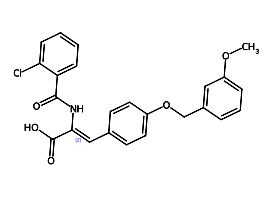 COc1cccc(COc2ccc(/C=C(\NC(=O)c3ccccc3Cl)C(=O)O)cc2)c1